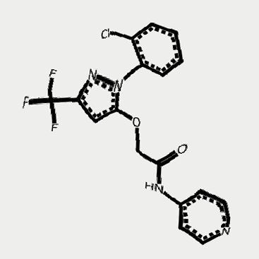 O=C(COc1cc(C(F)(F)F)nn1-c1ccccc1Cl)Nc1ccncc1